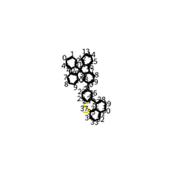 c1ccc(C2(c3ccccc3)c3ccccc3-c3ccc(-c4ccc5c(c4)-c4cccc6cccc(c46)S5)cc32)cc1